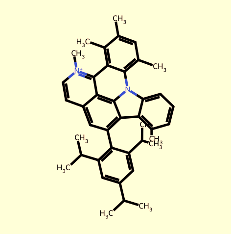 Cc1cc(C)c2c(c1C)c1c3c(cc[n+]1C)cc(-c1c(C(C)C)cc(C(C)C)cc1C(C)C)c1c4c(C)cccc4n2c13